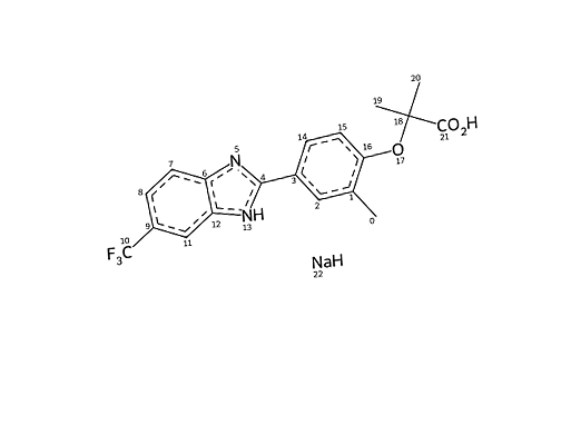 Cc1cc(-c2nc3ccc(C(F)(F)F)cc3[nH]2)ccc1OC(C)(C)C(=O)O.[NaH]